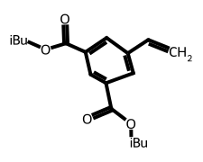 C=Cc1cc(C(=O)OC(C)CC)cc(C(=O)OC(C)CC)c1